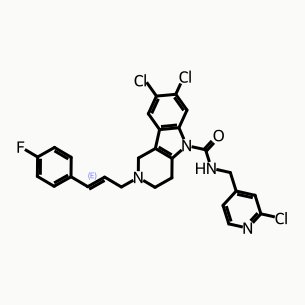 O=C(NCc1ccnc(Cl)c1)n1c2c(c3cc(Cl)c(Cl)cc31)CN(C/C=C/c1ccc(F)cc1)CC2